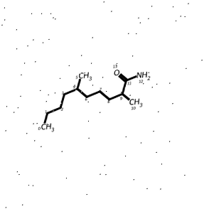 CCCCC(C)CCCC(C)C(N)=O